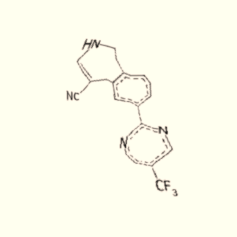 N#CC1=CNCc2ccc(-c3ncc(C(F)(F)F)cn3)cc21